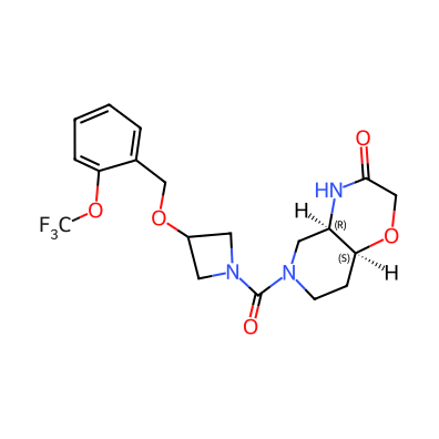 O=C1CO[C@H]2CCN(C(=O)N3CC(OCc4ccccc4OC(F)(F)F)C3)C[C@H]2N1